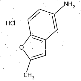 Cc1cc2cc(N)ccc2o1.Cl